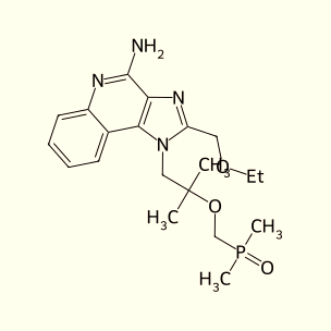 CCOCc1nc2c(N)nc3ccccc3c2n1CC(C)(C)OCP(C)(C)=O